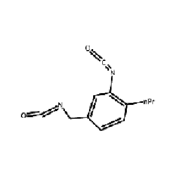 CCCc1ccc(CN=C=O)cc1N=C=O